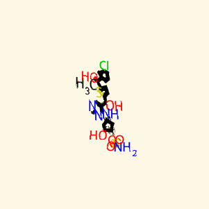 CC(O)(c1cccc(Cl)c1)c1ccc(C(O)c2cncnc2N[C@@H]2C[C@H](COS(N)(=O)=O)[C@@H](O)C2)s1